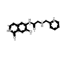 O=C(CNCc1ccccn1)Nc1cc2cc[nH]c(=O)c2cc1Cl